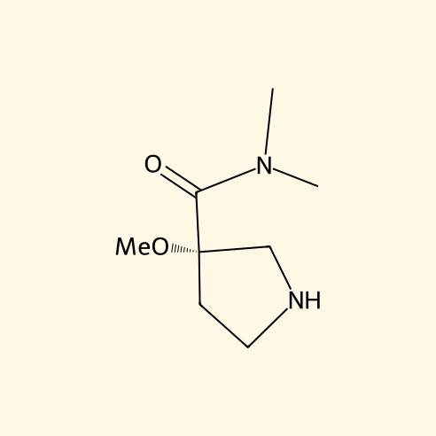 CO[C@@]1(C(=O)N(C)C)CCNC1